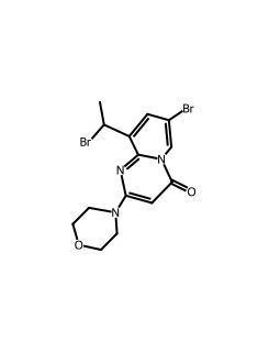 CC(Br)c1cc(Br)cn2c(=O)cc(N3CCOCC3)nc12